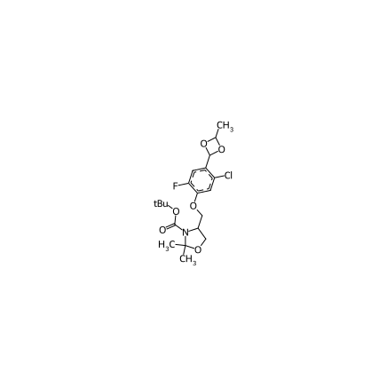 CC1OC(c2cc(F)c(OCC3COC(C)(C)N3C(=O)OC(C)(C)C)cc2Cl)O1